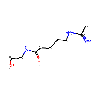 CC(=N)NCCCCC(=O)NCCO